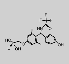 Cc1cc(OCP(=O)(O)O)cc(C)c1C(NC(=O)C(F)(F)F)c1ccc(O)cc1